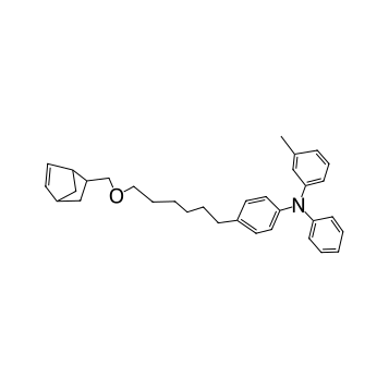 Cc1cccc(N(c2ccccc2)c2ccc(CCCCCCOCC3CC4C=CC3C4)cc2)c1